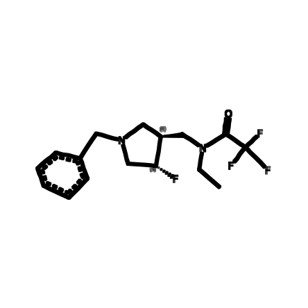 CCN(C[C@@H]1CN(Cc2ccccc2)C[C@H]1F)C(=O)C(F)(F)F